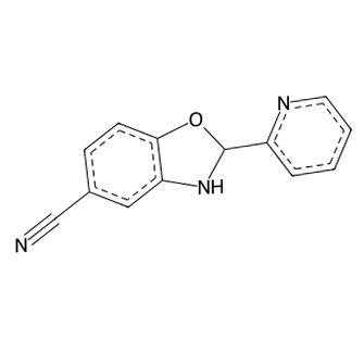 N#Cc1ccc2c(c1)NC(c1ccccn1)O2